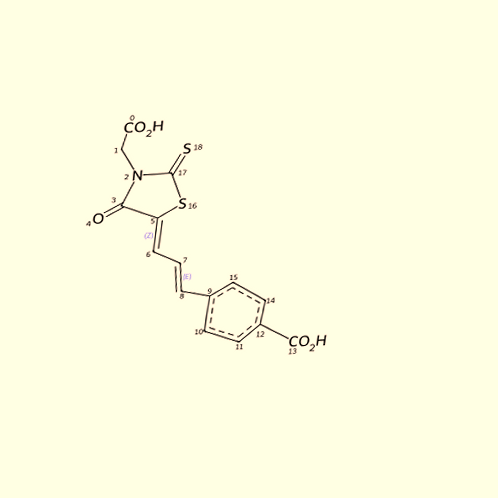 O=C(O)CN1C(=O)/C(=C/C=C/c2ccc(C(=O)O)cc2)SC1=S